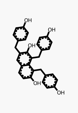 Oc1ccc(Cc2cc3ccc(O)c(Cc4ccc(O)cc4)c3c(Cc3ccc(O)cc3)c2O)cc1